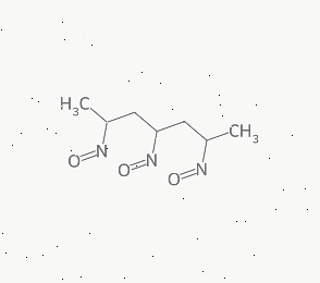 CC(CC(CC(C)N=O)N=O)N=O